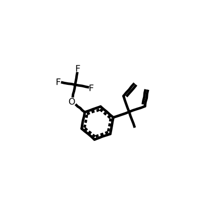 C=CC(C)(C=C)c1cccc(OC(F)(F)F)c1